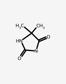 CC1(C)NC(=O)[N]C1=O